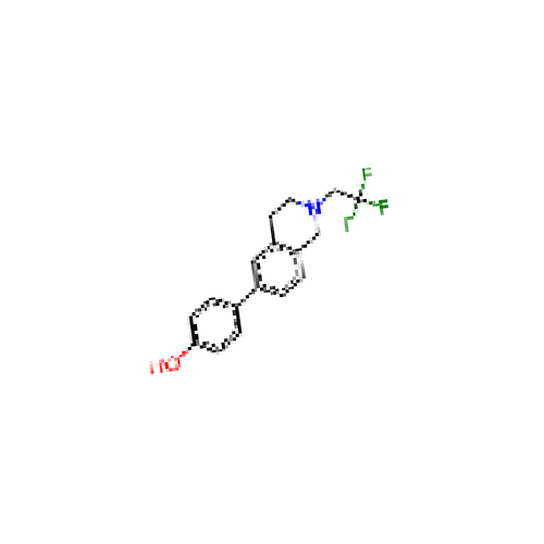 Oc1ccc(-c2ccc3c(c2)CCN(CC(F)(F)F)C3)cc1